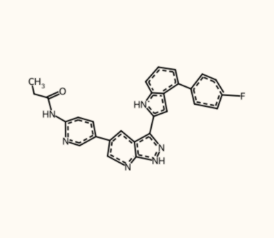 CCC(=O)Nc1ccc(-c2cnc3[nH]nc(-c4cc5c(-c6ccc(F)cc6)cccc5[nH]4)c3c2)cn1